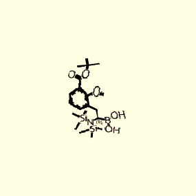 COc1c(C[C@@H](B(O)O)N([Si](C)(C)C)[Si](C)(C)C)cccc1C(=O)OC(C)(C)C